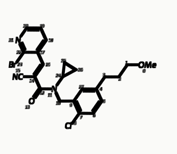 COCCCc1ccc(Cl)c(CN(C(=O)C(C#N)=Cc2cccnc2Br)C2CC2)c1